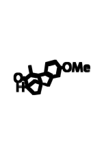 COc1ccc2c(c1)C[C@@]13CC[C@@H](C1)C(=O)C(C)=C23